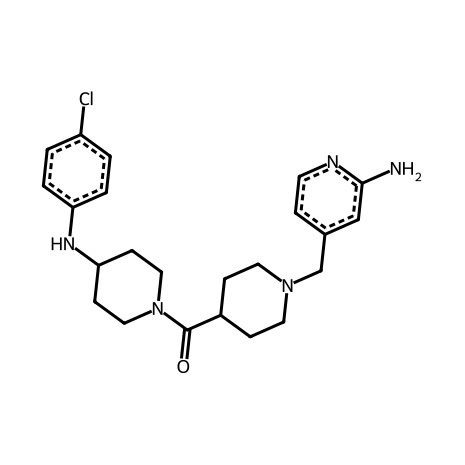 Nc1cc(CN2CCC(C(=O)N3CCC(Nc4ccc(Cl)cc4)CC3)CC2)ccn1